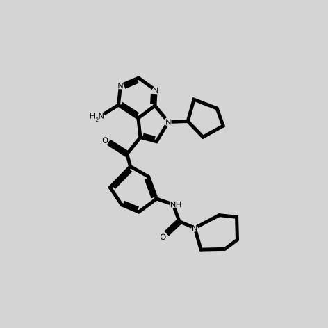 Nc1ncnc2c1c(C(=O)c1cccc(NC(=O)N3CCCCC3)c1)cn2C1CCCC1